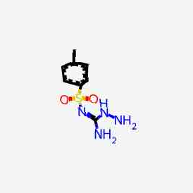 Cc1ccc(S(=O)(=O)N=C(N)NN)cc1